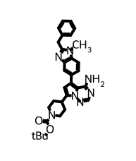 Cn1c(Cc2ccccc2)nc2cc(-c3cc(C4CCN(C(=O)OC(C)(C)C)CC4)n4ncnc(N)c34)ccc21